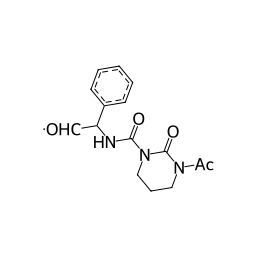 CC(=O)N1CCCN(C(=O)NC([C]=O)c2ccccc2)C1=O